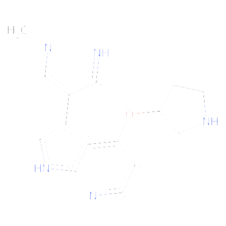 C=N/C=C(\C=N)c1c[nH]c2nccc(OC3CCNC3)c12